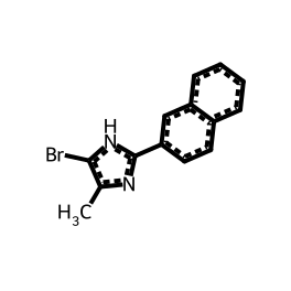 Cc1nc(-c2ccc3ccccc3c2)[nH]c1Br